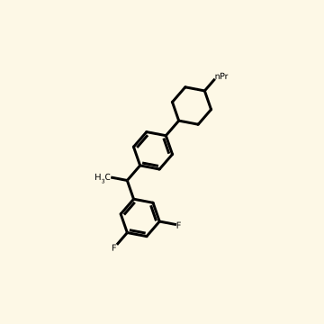 CCCC1CCC(c2ccc(C(C)c3cc(F)cc(F)c3)cc2)CC1